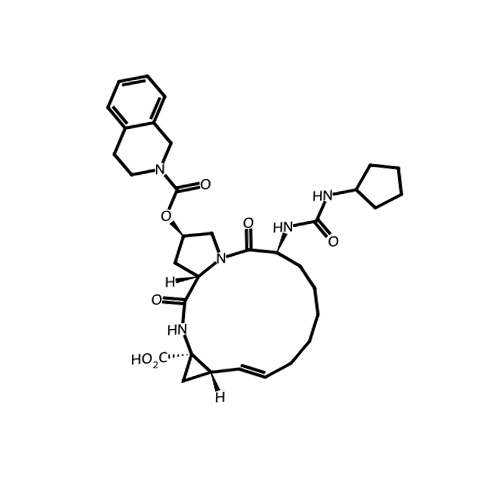 O=C(NC1CCCC1)N[C@H]1CCCCC/C=C/[C@@H]2C[C@@]2(C(=O)O)NC(=O)[C@@H]2C[C@@H](OC(=O)N3CCc4ccccc4C3)CN2C1=O